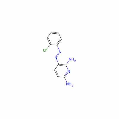 Nc1ccc(/N=N/c2ccccc2Cl)c(N)n1